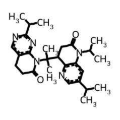 CC(C)c1cnc2c(c1)N(C(C)C)C(=O)CC2C(C)(C)N1C(=O)CCc2cnc(C(C)C)nc21